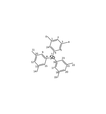 Cc1cc(C)c[c]([Sb]([c]2cc(C)cc(C)c2)[c]2cc(C)cc(C)c2)c1